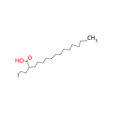 CCCCCCCCCCCCCCC(CCI)C(=O)O